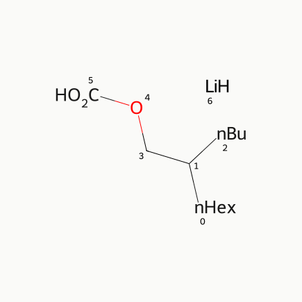 CCCCCCC(CCCC)COC(=O)O.[LiH]